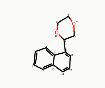 c1ccc2c(C3COCCO3)cccc2c1